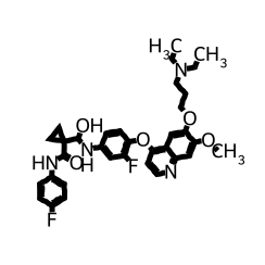 CCN(CC)CCCOc1cc2c(Oc3ccc(NC(O)C4(C(=O)Nc5ccc(F)cc5)CC4)cc3F)ccnc2cc1OC